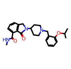 CNC(=O)c1cccc2c1C(=O)N(C1CCN(Cc3ccccc3OC(C)C)CC1)C2